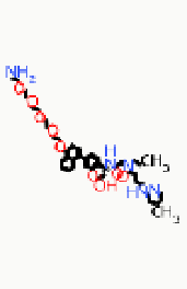 CCCN(CC(=O)N[C@@H](CC(=O)O)c1ccc(-c2ccc(OCCOCCOCCOCCOCCN)c3ccccc23)cc1)C(=O)CCCNc1cc(C)ccn1